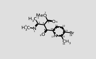 CN=C(C)C(C(=O)OC)C(=O)c1ccc(Br)c(C)n1